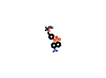 CN(C)c1cccc2c(S(=O)(=O)Oc3ccc(CO[Si](C)(C)C(C)(C)C)cc3)cccc12